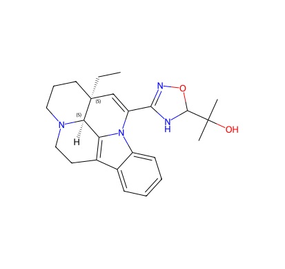 CC[C@@]12C=C(C3=NOC(C(C)(C)O)N3)n3c4c(c5ccccc53)CCN(CCC1)[C@H]42